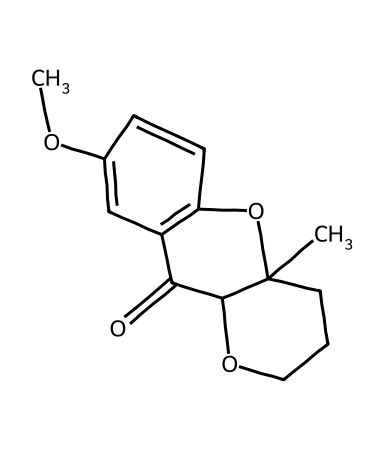 COc1ccc2c(c1)C(=O)C1OCCCC1(C)O2